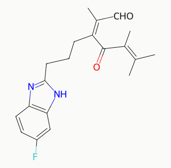 CC(C)=C(C)C(=O)/C(CCCc1nc2ccc(F)cc2[nH]1)=C(/C)C=O